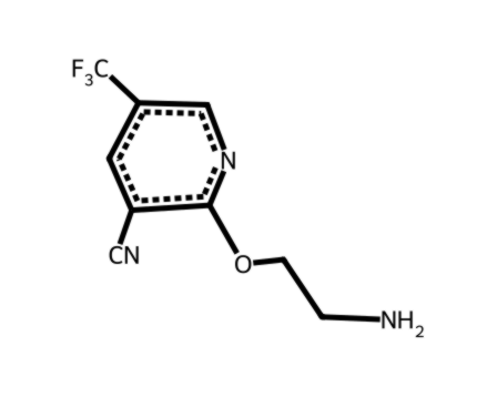 N#Cc1cc(C(F)(F)F)cnc1OCCN